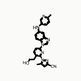 Cc1ccc(Nc2ccc3c(c2)ncn3-c2ccc(CCO)c(-n3nc(C#N)cc3C)n2)cn1